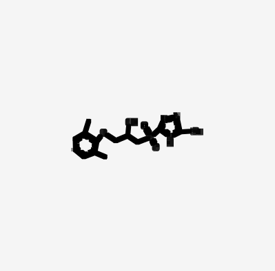 Cc1c[c]cc(C)c1OCC(O)CS(=O)(=O)c1nnc(C(C)(C)C)[nH]1